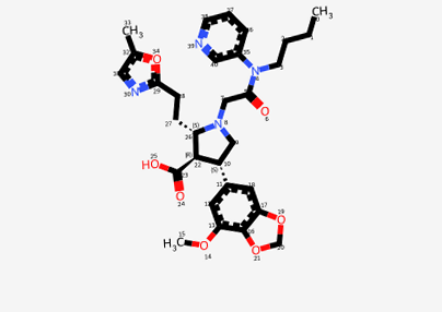 CCCCN(C(=O)CN1C[C@H](c2cc(OC)c3c(c2)OCO3)[C@@H](C(=O)O)[C@@H]1CCc1ncc(C)o1)c1cccnc1